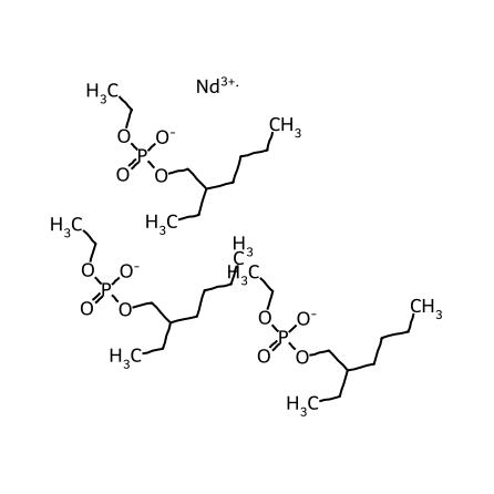 CCCCC(CC)COP(=O)([O-])OCC.CCCCC(CC)COP(=O)([O-])OCC.CCCCC(CC)COP(=O)([O-])OCC.[Nd+3]